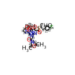 CCCCOc1c(C(=O)SC(C=O)Cc2ccc(F)cc2)nc2n(CC(=O)N3C[C@H](C)O[C@@H](C)C3)cc(N3CCCS3(=O)=O)n2c1=O